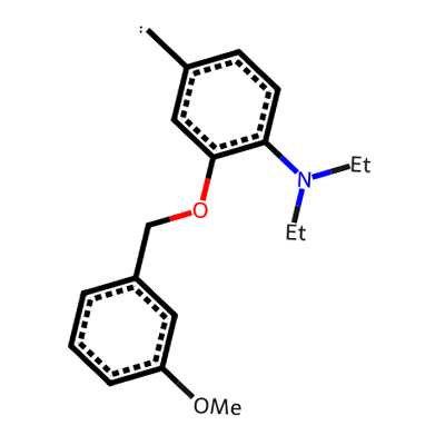 [CH]c1ccc(N(CC)CC)c(OCc2cccc(OC)c2)c1